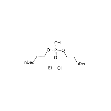 CCCCCCCCCCCCOP(=O)(O)OCCCCCCCCCCCC.CCO